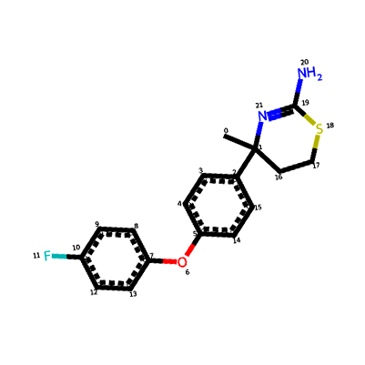 CC1(c2ccc(Oc3ccc(F)cc3)cc2)CCSC(N)=N1